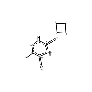 C1CCC1.Cc1c[nH]c(=O)[nH]c1=O